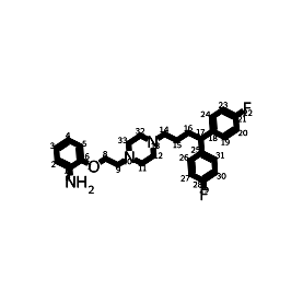 Nc1ccccc1OCCN1CCN(CCCC(c2ccc(F)cc2)c2ccc(F)cc2)CC1